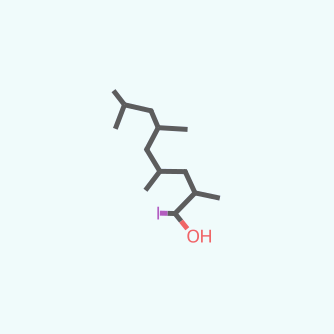 CC(C)CC(C)CC(C)CC(C)C(O)I